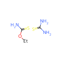 CCOC(N)=S.NC(N)=S